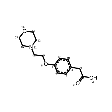 O=C(O)Cc1ccc(OCCN2CCOCC2)cc1